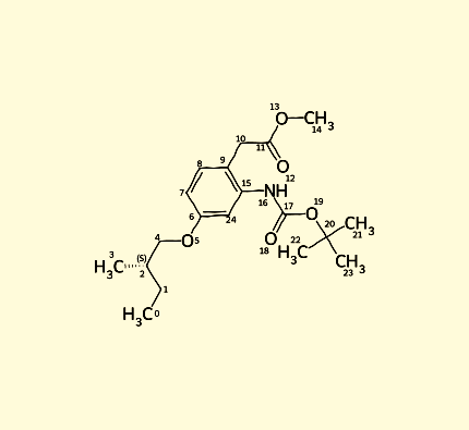 CC[C@H](C)COc1ccc(CC(=O)OC)c(NC(=O)OC(C)(C)C)c1